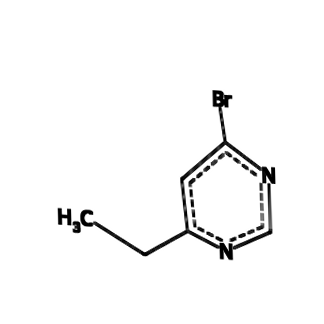 CCc1cc(Br)ncn1